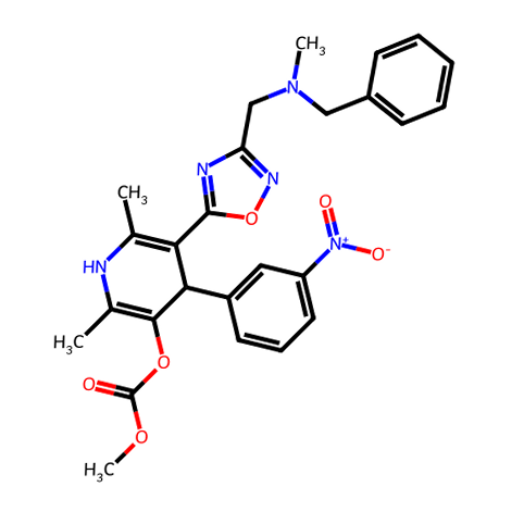 COC(=O)OC1=C(C)NC(C)=C(c2nc(CN(C)Cc3ccccc3)no2)C1c1cccc([N+](=O)[O-])c1